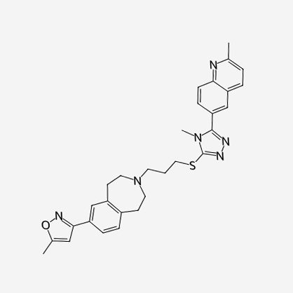 Cc1ccc2cc(-c3nnc(SCCCN4CCc5ccc(-c6cc(C)on6)cc5CC4)n3C)ccc2n1